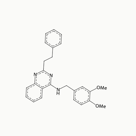 COc1ccc(CNc2nc(CCc3ccccc3)nc3ccccc23)cc1OC